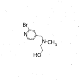 CN(CCO)Cc1ccnc(Br)c1